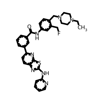 CCN1CCN(Cc2ccc(NC(=O)c3cccc(-c4ccc5nc(Nc6ccccn6)sc5n4)c3)cc2CF)CC1